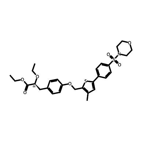 CCOC(=O)[C@H](Cc1ccc(OCc2sc(-c3ccc(S(=O)(=O)N4CCOCC4)cc3)cc2C)cc1)OCC